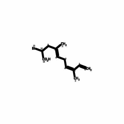 C=CC(C)=CCC=C(C)CC(CC)C(=O)O